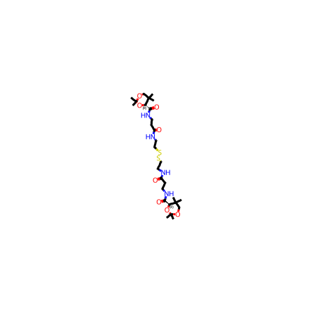 CC1(C)OCC(C)(C)[C@H](C(=O)NCCC(=O)NCCSSCCNC(=O)CCNC(=O)[C@@H]2OC(C)(C)OCC2(C)C)O1